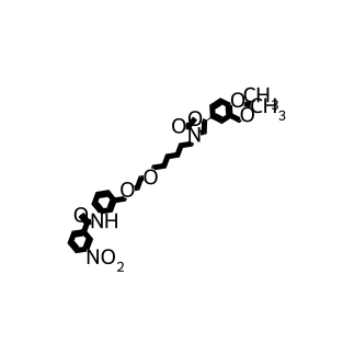 CC1(C)OCc2cc([C@@H]3CN(CCCCCCOCCOCc4cccc(NC(=O)c5cccc([N+](=O)[O-])c5)c4)C(=O)O3)ccc2O1